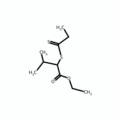 CCOC(=O)C(SC(=S)CC)C(C)C